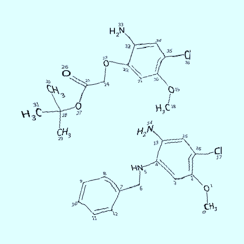 COc1cc(NCc2ccccc2)c(N)cc1Cl.COc1cc(OCC(=O)OC(C)(C)C)c(N)cc1Cl